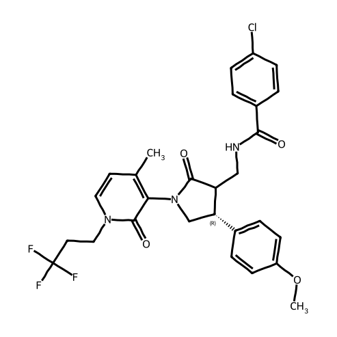 COc1ccc([C@@H]2CN(c3c(C)ccn(CCC(F)(F)F)c3=O)C(=O)C2CNC(=O)c2ccc(Cl)cc2)cc1